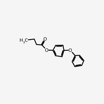 CCCC(=O)Oc1ccc(Oc2ccccc2)cc1